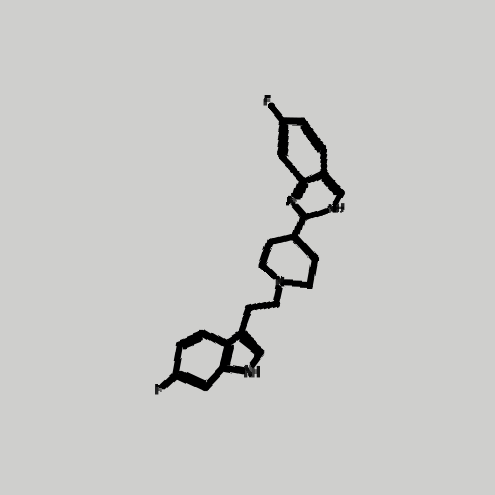 Fc1ccc2c(c1)=NC(C1CCN(CCc3c[nH]c4cc(F)ccc34)CC1)NC=2